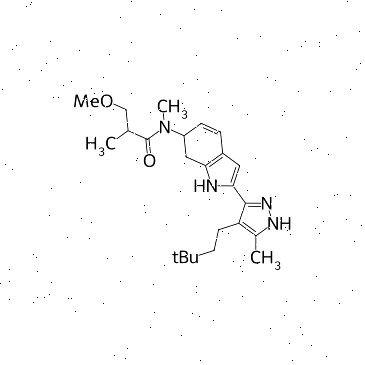 COCC(C)C(=O)N(C)C1C=Cc2cc(-c3n[nH]c(C)c3CCC(C)(C)C)[nH]c2C1